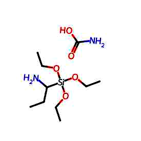 CCO[Si](OCC)(OCC)C(N)CC.NC(=O)O